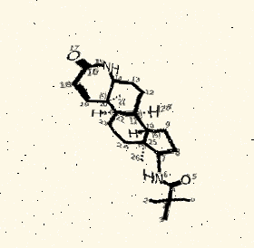 CC(C)(C)C(=O)NC1CC[C@H]2[C@@H]3CCC4NC(=O)C=C[C@]4(C)[C@@H]3CC[C@]12C